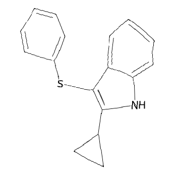 c1ccc(Sc2c(C3CC3)[nH]c3ccccc23)cc1